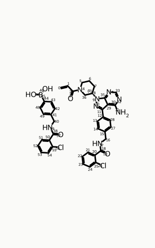 C=CC(=O)N1CCC[C@@H](n2nc(-c3ccc(CNC(=O)c4ccccc4Cl)cc3)c3c(N)ncnc32)C1.O=C(NCc1ccc(B(O)O)cc1)c1ccccc1Cl